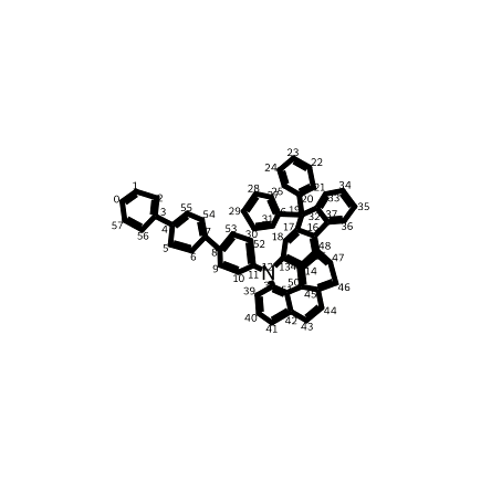 c1ccc(-c2ccc(-c3ccc(N(c4ccc5c(c4)C(c4ccccc4)(c4ccccc4)c4ccccc4-5)c4cccc5ccc6ccccc6c45)cc3)cc2)cc1